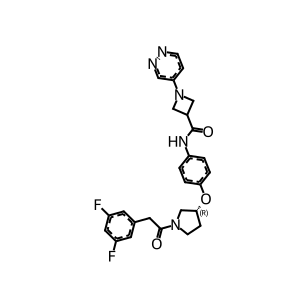 O=C(Nc1ccc(O[C@@H]2CCN(C(=O)Cc3cc(F)cc(F)c3)C2)cc1)C1CN(c2ccnnc2)C1